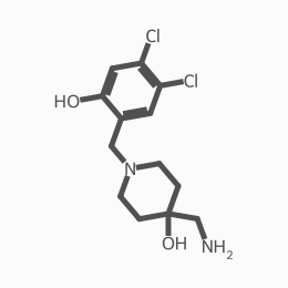 NCC1(O)CCN(Cc2cc(Cl)c(Cl)cc2O)CC1